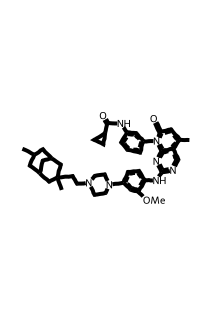 COc1cc(N2CCN(CCC3(C)CC4CC(C)CC(C4)C3)CC2)ccc1Nc1ncc2c(C)cc(=O)n(-c3cccc(NC(=O)C4CC4)c3)c2n1